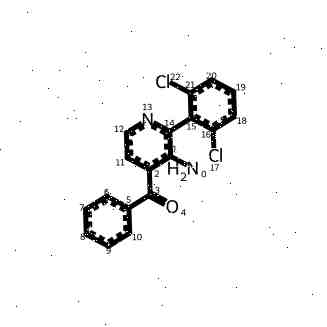 Nc1c(C(=O)c2ccccc2)ccnc1-c1c(Cl)cccc1Cl